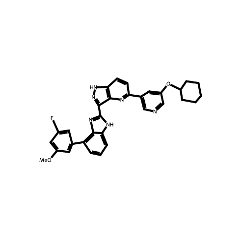 COc1cc(F)cc(-c2cccc3[nH]c(-c4n[nH]c5ccc(-c6cncc(OC7CCCCC7)c6)nc45)nc23)c1